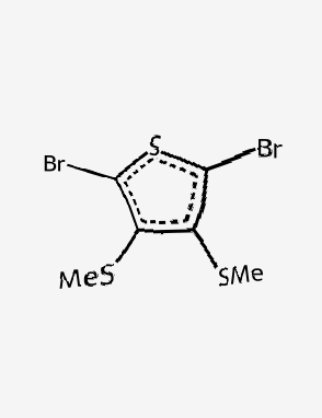 CSc1c(Br)sc(Br)c1SC